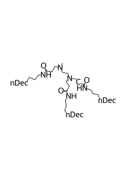 CCCCCCCCCCCCCNC(=O)CCN(C)CCN(CCC(=O)NCCCCCCCCCCCCC)CCC(=O)NCCCCCCCCCCCCC